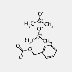 C[S+](C)[O-].C[S+](C)[O-].O=C(Cl)OCc1ccccc1